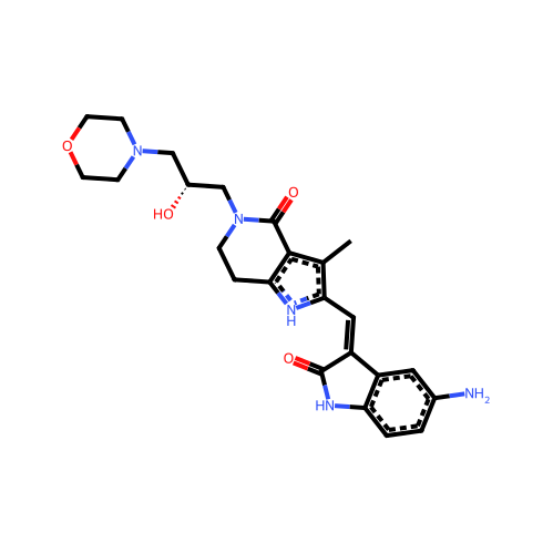 Cc1c(/C=C2\C(=O)Nc3ccc(N)cc32)[nH]c2c1C(=O)N(C[C@H](O)CN1CCOCC1)CC2